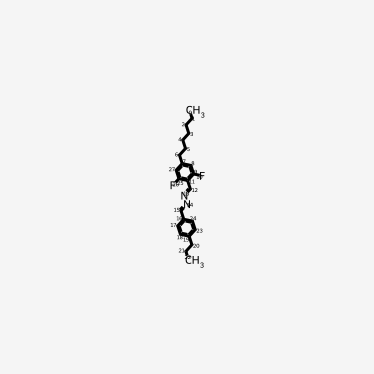 CCCCCCCc1cc(F)c(C=NN=Cc2ccc(CCC)cc2)c(F)c1